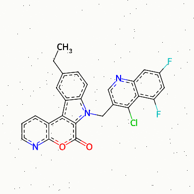 CCc1ccc2c(c1)c1c3cccnc3oc(=O)c1n2Cc1cnc2cc(F)cc(F)c2c1Cl